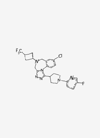 Fc1ccc(N2CCC(c3nnc4n3-c3ccc(Cl)cc3CN(C3CC(C(F)(F)F)C3)C4)CC2)nc1